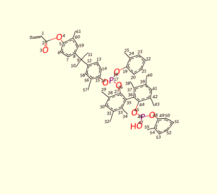 C=CC(=O)Oc1ccc(C(C)(C)c2ccc(OP(Oc3ccccc3C)Oc3c(C)cc(C)c(C)c3-c3c(C)c(C)cc(C)c3OP(O)Oc3ccccc3C)c(C)c2)cc1C